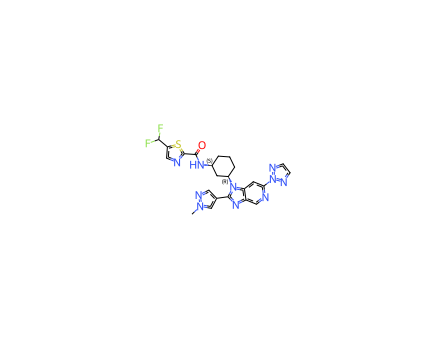 Cn1cc(-c2nc3cnc(-n4nccn4)cc3n2[C@@H]2CCC[C@H](NC(=O)c3ncc(C(F)F)s3)C2)cn1